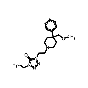 CCn1nnn(CCN2CCC(COC)(c3cc[c]cc3)CC2)c1=O